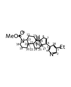 CCc1cncc(C2=CC[C@H]3[C@@H]4CCC5N(C(=O)OC)CCC[C@]5(C)C4CC[C@]23C)c1